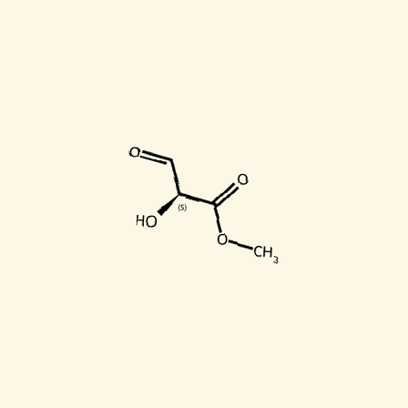 COC(=O)[C@@H](O)C=O